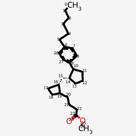 CCCCCCc1ccc(C2CCC[C@@H]2C[C@H]2CCC2CCCC(=O)OC)cc1